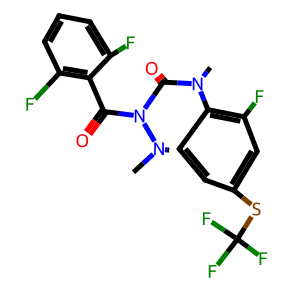 CN(C(=O)N(C(=O)c1c(F)cccc1F)N(C)C)c1ccc(SC(F)(F)F)cc1F